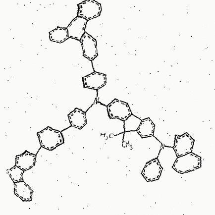 CC1(C)c2cc(N(c3ccc(-c4ccc(-c5ccc6sc7ccccc7c6c5)cc4)cc3)c3ccc(-c4ccc5c6ccccc6c6ccccc6c5c4)cc3)ccc2-c2ccc(N(c3ccccc3)c3cccc4ccccc34)cc21